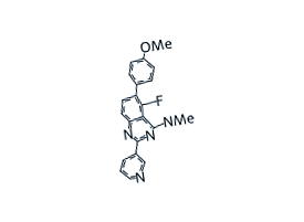 CNc1nc(-c2cccnc2)nc2ccc(-c3ccc(OC)cc3)c(F)c12